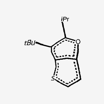 CC(C)c1oc2ccsc2c1C(C)(C)C